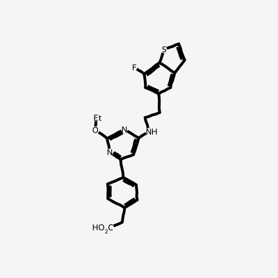 CCOc1nc(NCCc2cc(F)c3sccc3c2)cc(-c2ccc(CC(=O)O)cc2)n1